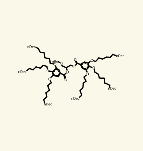 CCCCCCCCCCCCCCCCOc1cc(C(=O)OCC(COCCCC)OC(=O)c2cc(OCCCCCCCCCCCCCCCC)c(OCCCCCCCCCCCCCCCC)c(OCCCCCCCCCCCCCCCC)c2)cc(OCCCCCCCCCCCCCCCC)c1OCCCCCCCCCCCCCCCC